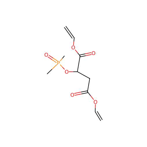 C=COC(=O)CC(OP(C)(C)=O)C(=O)OC=C